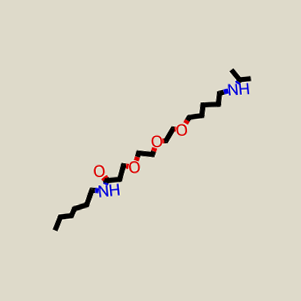 CCCCCCNC(=O)CCOCCOCCOCCCCCNC(C)C